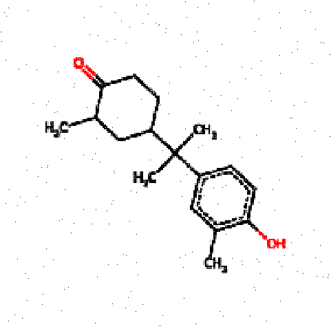 Cc1cc(C(C)(C)C2CCC(=O)C(C)C2)ccc1O